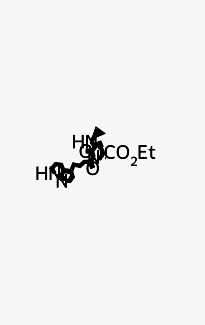 C#C[C@@H](CN(C(=O)CCCc1ccnc2c1CCCN2)C(=O)CNC1CC1)C(=O)OCC